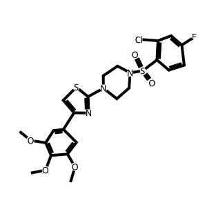 COc1cc(-c2csc(N3CCN(S(=O)(=O)c4ccc(F)cc4Cl)CC3)n2)cc(OC)c1OC